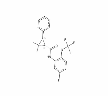 CC1(C)[C@@H](C(=O)Nc2cc(F)ccc2OC(F)(F)F)[C@@H]1c1ccccc1